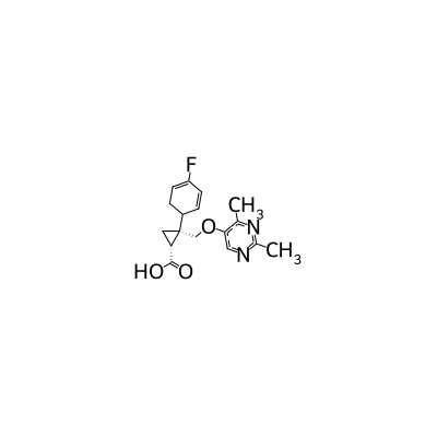 Cc1ncc(OC[C@@]2(C3C=CC(F)=CC3)C[C@H]2C(=O)O)c(C)n1